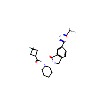 O=C(N[C@@H]1CCCC[C@H]1N1Cc2ccc(-c3nnc(C(F)F)o3)cc2C1=O)C1CC(F)(F)C1